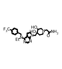 CCN(Cc1ccc(C(F)(F)F)cc1)c1ncnc2c1ccn2C[C@]1(O)CCN(CC(N)=O)CC1O